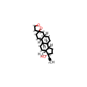 C#C[C@]1(O)CC[C@H]2[C@@H]3CC[C@H]4CC5(CCOO5)CC[C@@H]4[C@H]3CC[C@@]21C